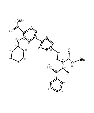 COC(=O)c1ccc(-c2ccc(CCN(C(=O)OC(C)(C)C)[C@@H](C)[C@H](O)c3ccccc3)cc2)cc1OC1CCCCC1